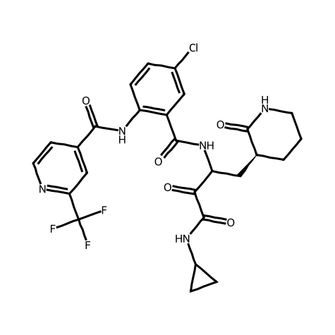 O=C(NC1CC1)C(=O)C(C[C@@H]1CCCNC1=O)NC(=O)c1cc(Cl)ccc1NC(=O)c1ccnc(C(F)(F)F)c1